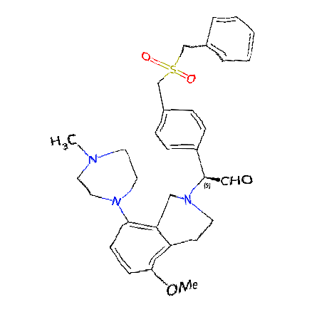 COc1ccc(N2CCN(C)CC2)c2c1CCN([C@H](C=O)c1ccc(CS(=O)(=O)Cc3ccccc3)cc1)C2